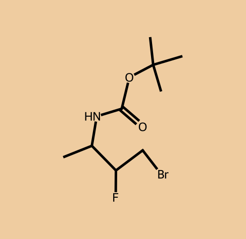 CC(NC(=O)OC(C)(C)C)C(F)CBr